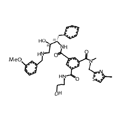 COc1cccc(CNC[C@@H](O)[C@H](Cc2ccccc2)NC(=O)c2cc(C(=O)NCCO)cc(C(=O)N(C)Cc3nc(C)cs3)c2)c1